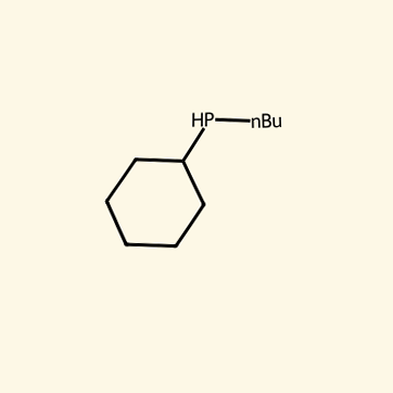 CCCCPC1CCCCC1